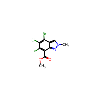 COC(=O)c1c(F)c(Cl)c(Br)c2cn(C)nc12